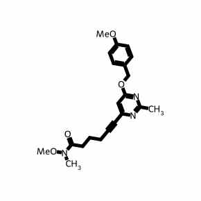 COc1ccc(COc2cc(C#CCCCC(=O)N(C)OC)nc(C)n2)cc1